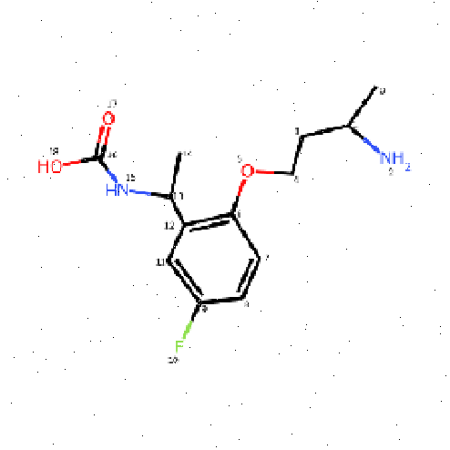 CC(N)CCOc1ccc(F)cc1C(C)NC(=O)O